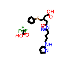 O=C(O)C(F)(F)F.O=C(O)CC(CSc1ccccc1)Cc1nc(CCCCNc2ccccn2)no1